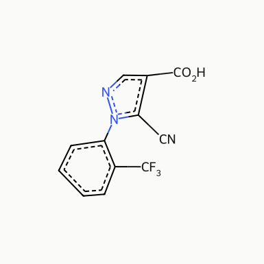 N#Cc1c(C(=O)O)cnn1-c1ccccc1C(F)(F)F